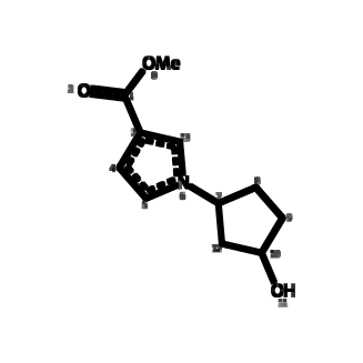 COC(=O)c1ccn(C2CCC(O)C2)c1